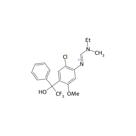 CCN(C)/C=N/c1cc(OC)c(C(O)(c2ccccc2)C(F)(F)F)cc1Cl